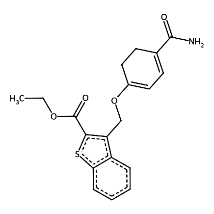 CCOC(=O)c1sc2ccccc2c1COC1=CC=C(C(N)=O)CC1